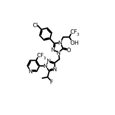 CC(F)c1nc(Cn2nc(-c3ccc(Cl)cc3)n(CC(O)C(F)(F)F)c2=O)nn1-c1cnccc1C(F)(F)F